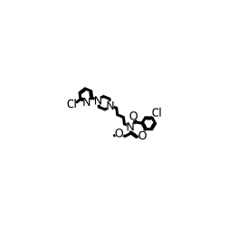 COCC1=COc2ccc(Cl)cc2C(=O)N1CCCCN1CCN(c2cccc(Cl)n2)CC1